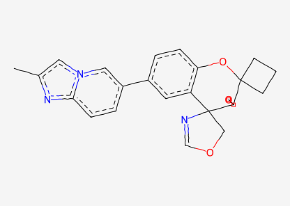 Cc1cn2cc(-c3ccc4c(c3)C3(COC=N3)C3(CCO3)C3(CCC3)O4)ccc2n1